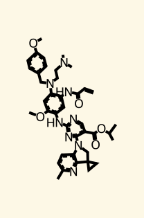 C=CC(=O)Nc1cc(Nc2ncc(C(=O)OC(C)C)c(N3CC4(CC4)c4nc(C)ccc43)n2)c(OC)cc1N(CCN(C)C)Cc1ccc(OC)cc1